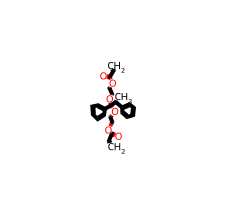 C=CC(=O)OCCOC(OCCOC(=O)C=C)(c1ccccc1)C(C)c1ccccc1